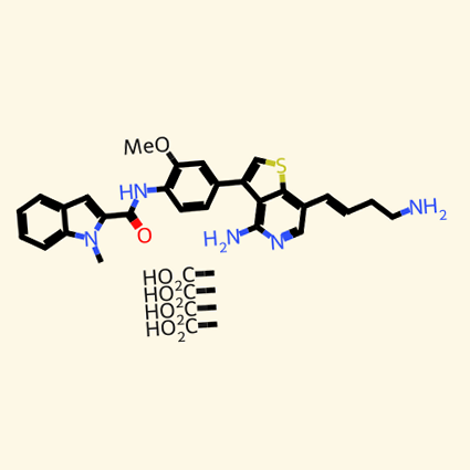 CC(=O)O.CC(=O)O.CC(=O)O.CC(=O)O.COc1cc(-c2csc3c(C=CCCN)cnc(N)c23)ccc1NC(=O)c1cc2ccccc2n1C